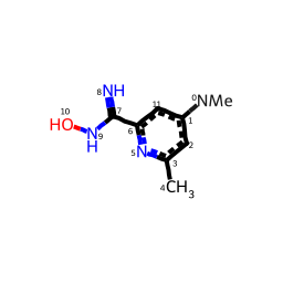 CNc1cc(C)nc(C(=N)NO)c1